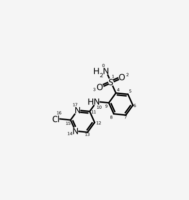 NS(=O)(=O)c1ccccc1Nc1ccnc(Cl)n1